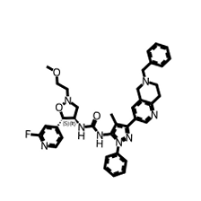 COCCN1C[C@@H](NC(=O)Nc2c(C)c(-c3cnc4c(c3)CN(Cc3ccccc3)CC4)nn2-c2ccccc2)[C@H](c2ccnc(F)c2)O1